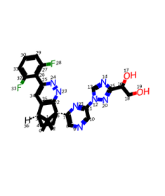 CC1(C)[C@H]2CC[C@]1(c1cncc(-n3cnc(C(O)CO)n3)n1)c1nnc(-c3c(F)cccc3F)cc12